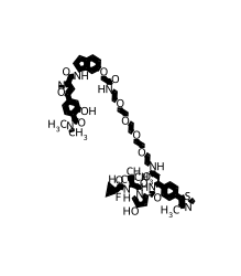 Cc1ncsc1-c1ccc([C@H](CC(=O)NCCOCCOCCOCCOCCNC(=O)COc2ccc3c(c2)[C@H](NC(=O)c2cc(-c4ccc(C(=O)N(C)C)c(O)c4)on2)CC3)NC(=O)[C@@H]2C[C@@H](O)CN2C(=O)[C@@H](NC(=O)C2(F)CC2)C(C)(C)C)cc1